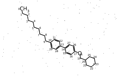 CCCCCCCCCCc1ccc(-c2ccc(OCC3CC[CH]CC3)cc2)cc1